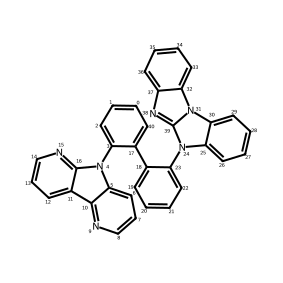 c1ccc(-n2c3cccnc3c3cccnc32)c(-c2ccccc2-n2c3ccccc3n3c4ccccc4nc23)c1